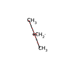 [CH2]CCc1c(CCCCCCCCCCCCCCCCCCC)cccc1CCCCCCCCCCCCCCCCCCC